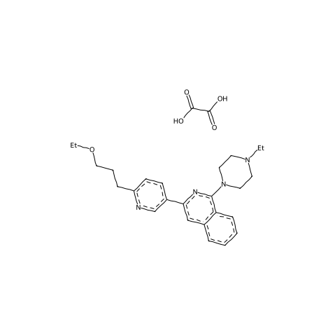 CCOCCCc1ccc(-c2cc3ccccc3c(N3CCN(CC)CC3)n2)cn1.O=C(O)C(=O)O